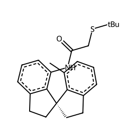 Cc1cccc2c1[C@@]1(CC2)CCc2cccc(NC(=O)CSC(C)(C)C)c21